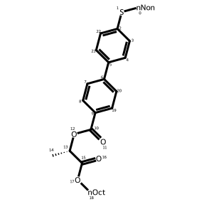 CCCCCCCCCSc1ccc(-c2ccc(C(=O)O[C@@H](C)C(=O)OCCCCCCCC)cc2)cc1